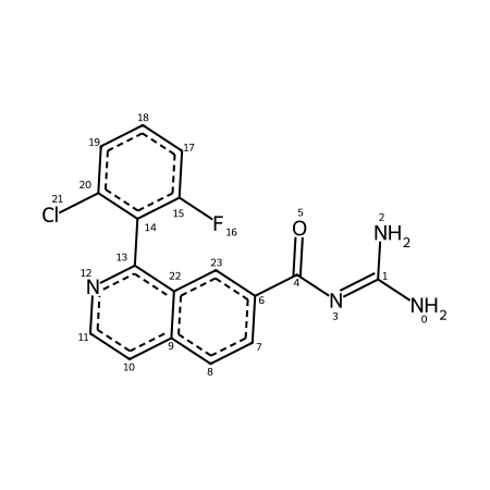 NC(N)=NC(=O)c1ccc2ccnc(-c3c(F)cccc3Cl)c2c1